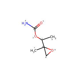 CC(OC(N)=O)C1(C)CO1